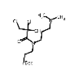 CCCCCCCCCCCCN(CCCN(C)C)C(=O)C(C)(Cl)CCl